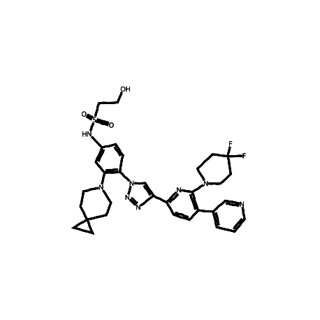 O=S(=O)(CCO)Nc1ccc(-n2cc(-c3ccc(-c4cccnc4)c(N4CCC(F)(F)CC4)n3)nn2)c(N2CCC3(CC2)CC3)c1